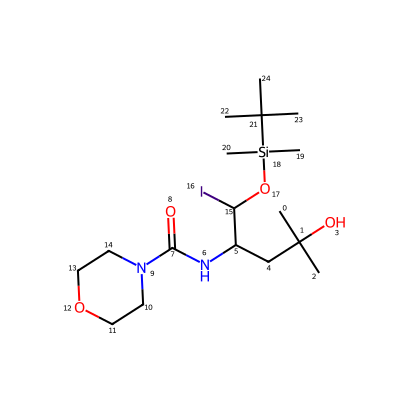 CC(C)(O)CC(NC(=O)N1CCOCC1)C(I)O[Si](C)(C)C(C)(C)C